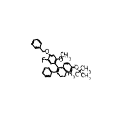 COc1cc(OCc2ccccc2)c(F)cc1C1=C(c2ccccc2)CCc2cc(OC(C)(C)C)ccc21